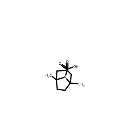 CC12CCC(C)(CC(=O)C1)N2C(=O)O